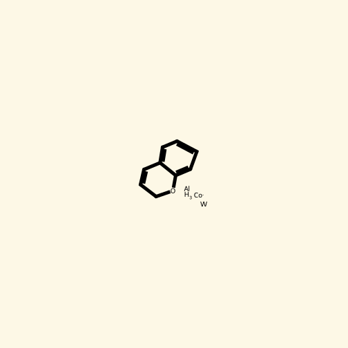 C1=Cc2ccccc2OC1.[AlH3].[Co].[W]